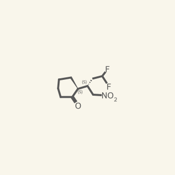 O=C1CCCC[C@H]1[C@H](CC(F)F)C[N+](=O)[O-]